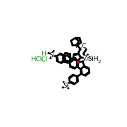 C[Si](C)(C)c1ccc(-c2cccc3c2C=C(CC24CCC(CC2)C4)[CH]3[Zr]([CH3])(=[SiH2])([CH2]CC(F)(F)F)[CH]2C(CC34CCC(CC3)C4)=Cc3c(-c4ccc([Si](C)(C)C)cc4)cccc32)cc1.Cl.Cl